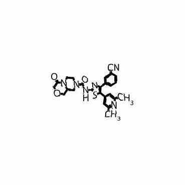 Cc1cc(-c2sc(NC(=O)N3CCN4C(=O)COCC4C3)nc2-c2cccc(C#N)c2)cc(C)n1